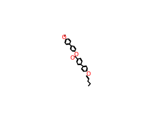 CCCC=COc1ccc(-c2ccc(C(=O)Oc3ccc(-c4ccc(OC)cc4)cc3)cc2)cc1